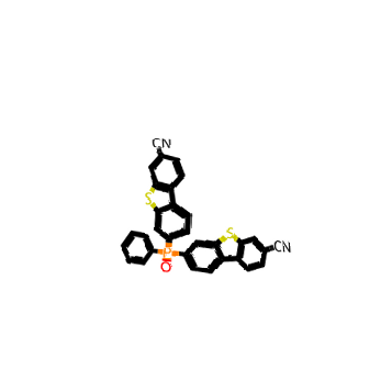 N#Cc1ccc2c(c1)sc1cc(P(=O)(c3ccccc3)c3ccc4c(c3)sc3cc(C#N)ccc34)ccc12